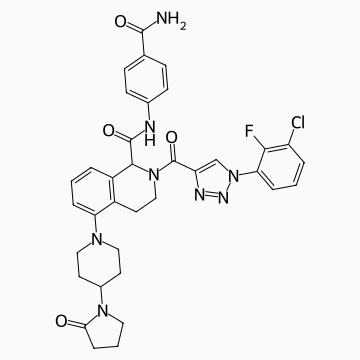 NC(=O)c1ccc(NC(=O)C2c3cccc(N4CCC(N5CCCC5=O)CC4)c3CCN2C(=O)c2cn(-c3cccc(Cl)c3F)nn2)cc1